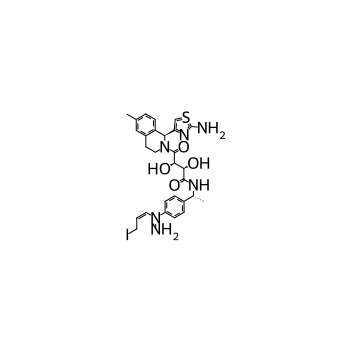 Cc1ccc2c(c1)CCN(C(=O)[C@H](O)[C@@H](O)C(=O)N[C@H](C)c1ccc(N(N)/C=C\CI)cc1)[C@@H]2c1csc(N)n1